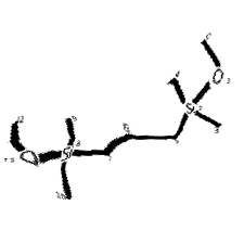 CO[Si](C)(C)CCC[Si](C)(C)OC